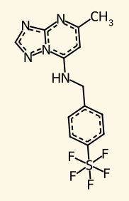 Cc1cc(NCc2ccc(S(F)(F)(F)(F)F)cc2)n2ncnc2n1